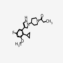 CCC(=O)N1CCC(N2CC(c3cc(F)cc(OC)c3C3CC3)=CN2)CC1